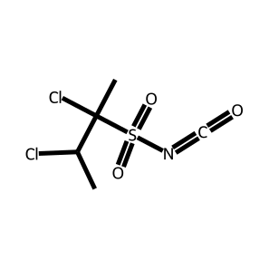 CC(Cl)C(C)(Cl)S(=O)(=O)N=C=O